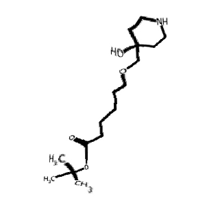 CC(C)(C)OC(=O)CCCCCOCC1(O)CCNCC1